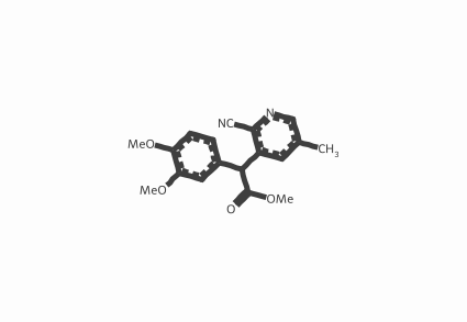 COC(=O)C(c1ccc(OC)c(OC)c1)c1cc(C)cnc1C#N